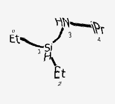 CC[SiH](CC)NC(C)C